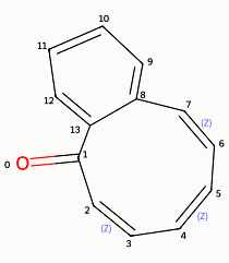 O=C1\C=C/C=C\C=C/c2ccccc21